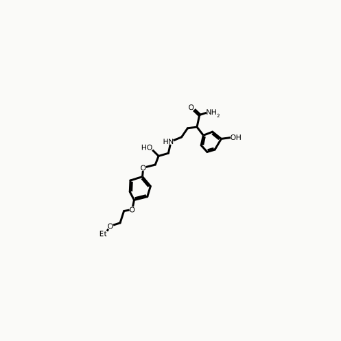 CCOCCOc1ccc(OCC(O)CNCCC(C(N)=O)c2cccc(O)c2)cc1